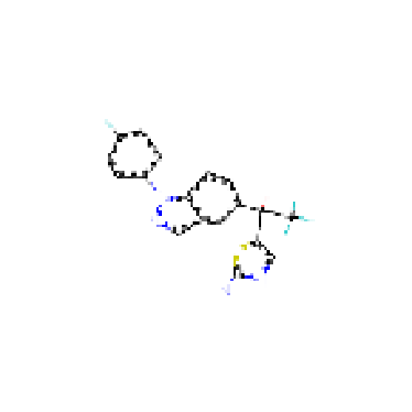 Nc1ncc(C(O)(c2ccc3c(cnn3-c3ccc(F)cc3)c2)C(F)(F)F)s1